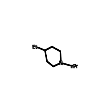 [CH2]CC1CCN(CCC)CC1